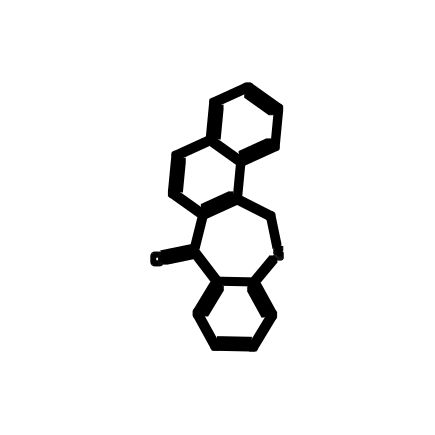 O=C1c2ccccc2SCc2c1ccc1ccccc21